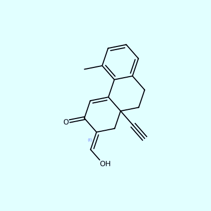 C#CC12CCc3cccc(C)c3C1=CC(=O)/C(=C/O)C2